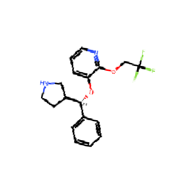 FC(F)(F)COc1ncccc1O[C@H](c1ccccc1)C1CCNC1